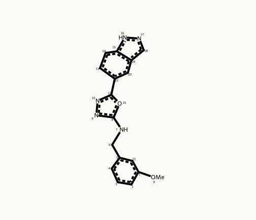 COc1cccc(CNc2nnc(-c3ccc4[nH]ncc4c3)o2)c1